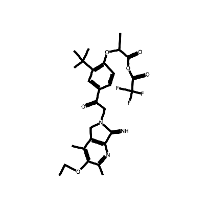 CCOc1c(C)nc2c(c1C)CN(CC(=O)c1ccc(OC(C)C(=O)OC(=O)C(F)(F)F)c(C(C)(C)C)c1)C2=N